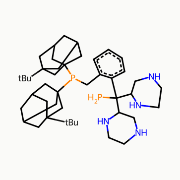 CC(C)(C)C12CC3CC(CC(P(Cc4ccccc4C(P)(C4CNCCN4)C4CNCCN4)C45CC6CC(C4)CC(C(C)(C)C)(C6)C5)(C3)C1)C2